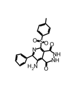 Cc1ccc(S(=O)(=O)c2nc(-c3ccccc3)c(N)c3c(=O)[nH][nH]c(=O)c23)cc1